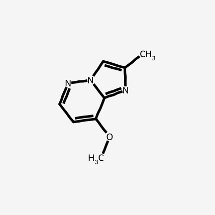 COc1ccnn2cc(C)nc12